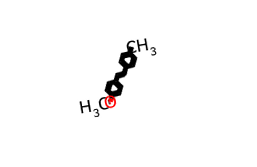 COc1ccc(/C=C/c2ccc(C)cc2)cc1